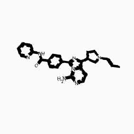 CC=CN1CCC(c2nc(-c3ccc(C(=O)Nc4ccccn4)cc3)n3c(N)nccc23)C1